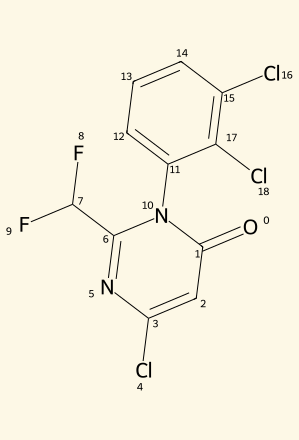 O=c1cc(Cl)nc(C(F)F)n1-c1cccc(Cl)c1Cl